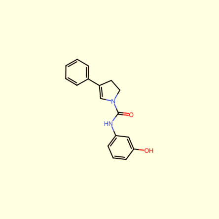 O=C(Nc1cccc(O)c1)N1C=C(c2ccccc2)CC1